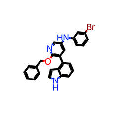 Brc1cccc(Nc2cnc(OCc3ccccc3)c(-c3cccc4[nH]ccc34)c2)c1